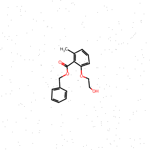 Cc1cccc(OCCO)c1C(=O)OCc1ccccc1